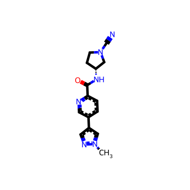 Cn1cc(-c2ccc(C(=O)N[C@@H]3CCN(C#N)C3)nc2)cn1